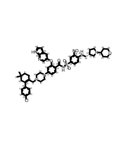 CC1(C)CCC(CN2CCN(c3ccc(C(=O)NS(=O)(=O)c4ccc(NC[C@@H]5CCN(C6CCOCC6)C5)c([N+](=O)[O-])c4)c(Oc4cnc5[nH]ccc5c4)c3)CC2)=C(c2ccc(Cl)cc2)C1